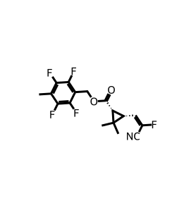 Cc1c(F)c(F)c(COC(=O)[C@@H]2[C@H](/C=C(/F)C#N)C2(C)C)c(F)c1F